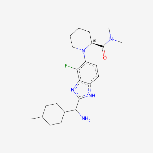 CC1CCC(C(N)c2nc3c(F)c(N4CCCC[C@H]4C(=O)N(C)C)ccc3[nH]2)CC1